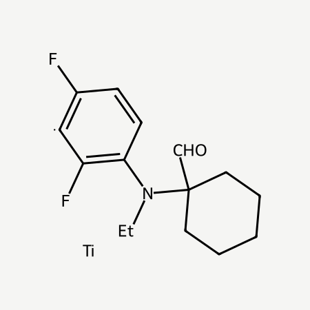 CCN(c1ccc(F)[c]c1F)C1(C=O)CCCCC1.[Ti]